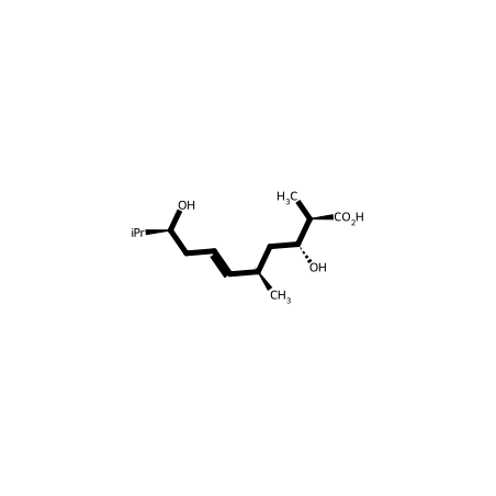 CC(C)[C@@H](O)C/C=C/[C@H](C)C[C@@H](O)[C@@H](C)C(=O)O